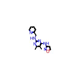 Cc1nc(NCc2ccccn2)nc(Nc2ccon2)c1C